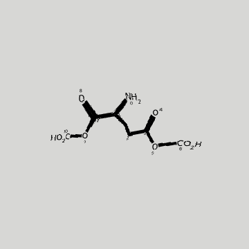 NC(CC(=O)OC(=O)O)C(=O)OC(=O)O